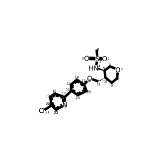 CS(=O)(=O)N[C@H]1COCC[C@@H]1COc1ccc(-c2ccc(Cl)cn2)cc1